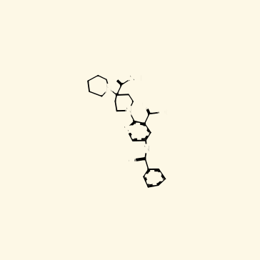 NC(=O)C1(N2CCCCC2)CCN(c2ncc(NC(=O)c3ccccc3)cc2C(=O)O)CC1